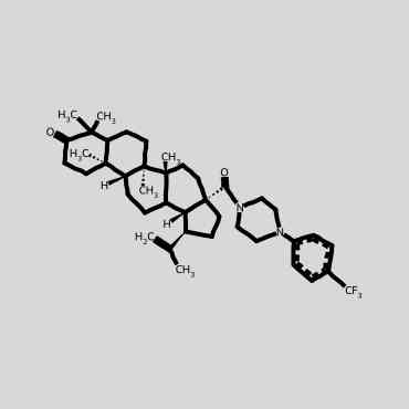 C=C(C)[C@@H]1CC[C@]2(C(=O)N3CCN(c4ccc(C(F)(F)F)cc4)CC3)CC[C@]3(C)C(CC[C@@H]4[C@@]5(C)CCC(=O)C(C)(C)C5CC[C@]43C)[C@@H]12